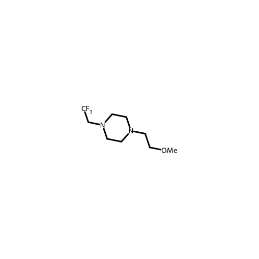 COCCN1CCN(CC(F)(F)F)CC1